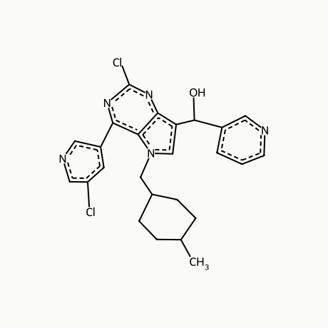 CC1CCC(Cn2cc(C(O)c3cccnc3)c3nc(Cl)nc(-c4cncc(Cl)c4)c32)CC1